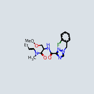 CC/C=C/N(C)C(=O)C(COOC)NC(=O)c1ncn(Cc2ccccc2F)n1